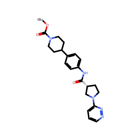 CC(C)(C)OC(=O)N1CCC(c2ccc(NC(=O)[C@@H]3CCN(c4cccnn4)C3)cc2)CC1